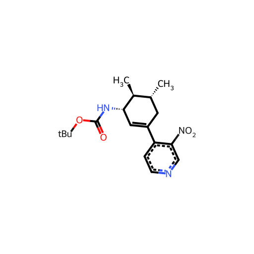 C[C@H]1[C@H](C)CC(c2ccncc2[N+](=O)[O-])=C[C@@H]1NC(=O)OC(C)(C)C